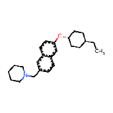 CC[C@H]1CC[C@H](Oc2ccc3cc(CN4CCCCC4)ccc3c2)CC1